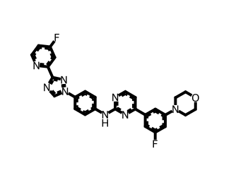 Fc1cc(-c2ccnc(Nc3ccc(-n4cnc(-c5cc(F)ccn5)n4)cc3)n2)cc(N2CCOCC2)c1